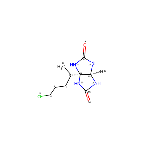 CC(CCCCl)[C@]12NC(=O)N[C@H]1NC(=O)N2